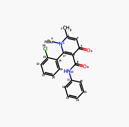 CCCCn1c(C)cc(=O)c(C(=O)Nc2ccccc2)c1-c1ccccc1Cl